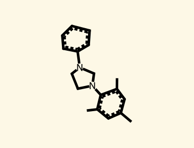 Cc1cc(C)c(N2CCN(c3ccccc3)C2)c(C)c1